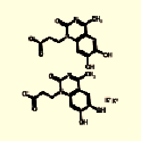 Cc1nc(=O)n(CCC(=O)[O-])c2cc(O)c(O)cc12.Cc1nc(=O)n(CCC(=O)[O-])c2cc(O)c(O)cc12.[K+].[K+]